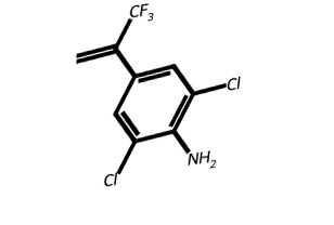 C=C(c1cc(Cl)c(N)c(Cl)c1)C(F)(F)F